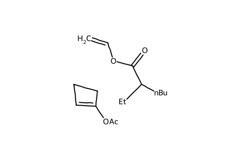 C=COC(=O)C(CC)CCCC.CC(=O)OC1=CCC1